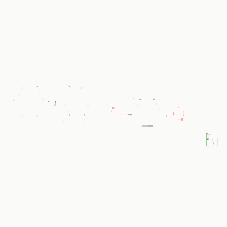 BrCCOc1ccc(OCc2ccc(-c3ccccc3)cc2)cc1